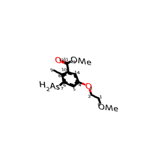 COCCOc1cc([AsH2])c(C)c(C(=O)OC)c1